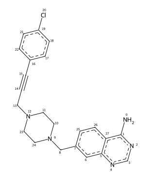 Nc1ncnc2cc(CN3CCN(CC#Cc4ccc(Cl)cc4)CC3)ccc12